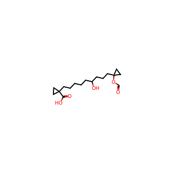 O=COC1(CCCC(O)CCCCCC2(C(=O)O)CC2)CC1